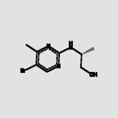 Cc1nc(N[C@H](C)CO)ncc1Br